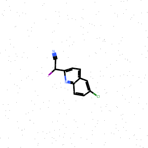 N#CC(I)c1ccc2cc(Cl)ccc2n1